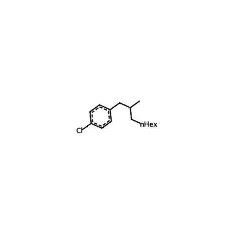 CCCCCCCC(C)Cc1ccc(Cl)cc1